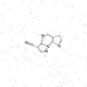 N#Cc1cnn2c3c(cnc12)CC=N3